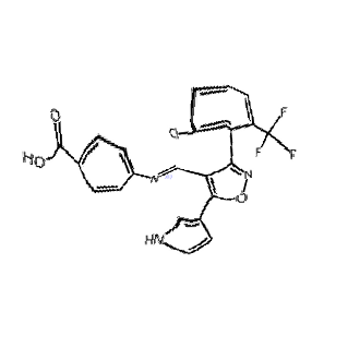 O=C(O)c1ccc(/N=C/c2c(-c3c(Cl)cccc3C(F)(F)F)noc2-c2cc[nH]c2)cc1